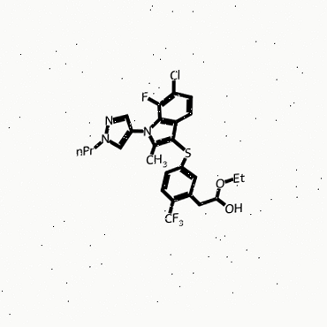 CCCn1cc(-n2c(C)c(Sc3ccc(C(F)(F)F)c(CC(O)OCC)c3)c3ccc(Cl)c(F)c32)cn1